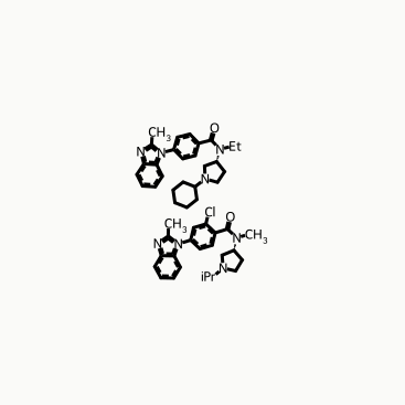 CCN(C(=O)c1ccc(-n2c(C)nc3ccccc32)cc1)[C@@H]1CCN(C2CCCCC2)C1.Cc1nc2ccccc2n1-c1ccc(C(=O)N(C)[C@@H]2CCN(C(C)C)C2)c(Cl)c1